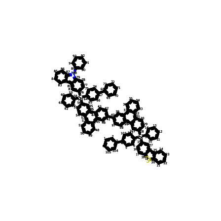 c1ccc(-c2ccc([Si](c3ccccc3)(c3ccc4sc5ccccc5c4c3)c3ccc4c5ccccc5c5cc(-c6ccc7c(c6)c6ccccc6c6ccc([Si](c8ccccc8)(c8ccc(-c9ccccc9)cc8)c8ccc9c(c8)c8ccccc8n9-c8ccccc8)cc67)ccc5c4c3)cc2)cc1